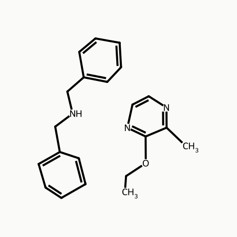 CCOc1nccnc1C.c1ccc(CNCc2ccccc2)cc1